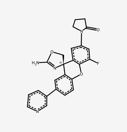 NC1=N[C@@]2(CO1)c1cc(-c3cccnc3)ccc1Oc1c(F)cc(N3CCCC3=O)cc12